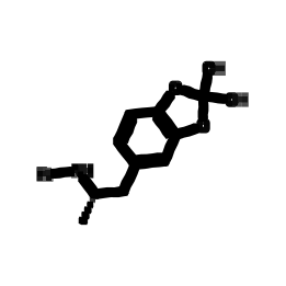 CCN[C@@H](C)Cc1ccc2c(c1)OC(O)(O)O2